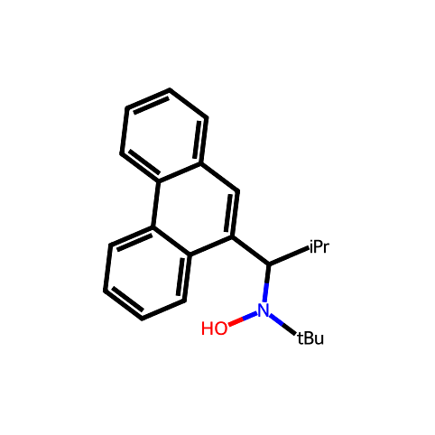 CC(C)C(c1cc2ccccc2c2ccccc12)N(O)C(C)(C)C